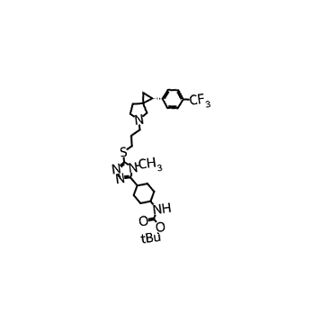 Cn1c(SCCCN2CCC3(C[C@@H]3c3ccc(C(F)(F)F)cc3)C2)nnc1C1CCC(NC(=O)OC(C)(C)C)CC1